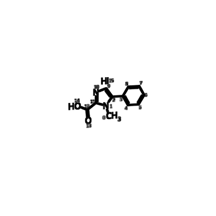 Cn1c(-c2ccccc2)cnc1C(=O)O.I